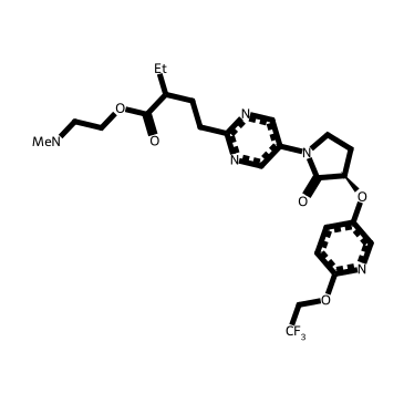 CCC(CCc1ncc(N2CC[C@@H](Oc3ccc(OCC(F)(F)F)nc3)C2=O)cn1)C(=O)OCCNC